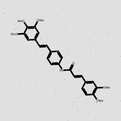 COc1ccc(/C=C/C(=O)Nc2ccc(/C=C/c3cc(OC)c(OC)c(OC)c3)cc2)cc1OC